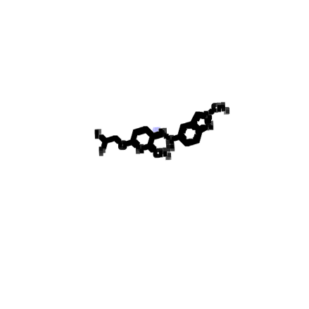 C=C1N=C(OCC(F)F)C=C/C1=N/Nc1ccc2nn(C)cc2c1